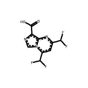 O=C(O)c1ncn2c(C(F)F)cc(C(F)F)nc12